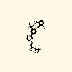 O=C(CCN1CCOC(c2ccc(OCc3c(Cl)cccc3Cl)c(C(F)(F)F)c2)C1)OC(=O)C(F)(F)F